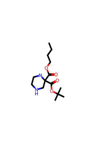 CCCCOC(=O)C1(C(=O)OC(C)(C)C)CNCC[N]1